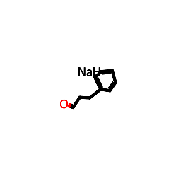 O=CCCc1ccccc1.[NaH]